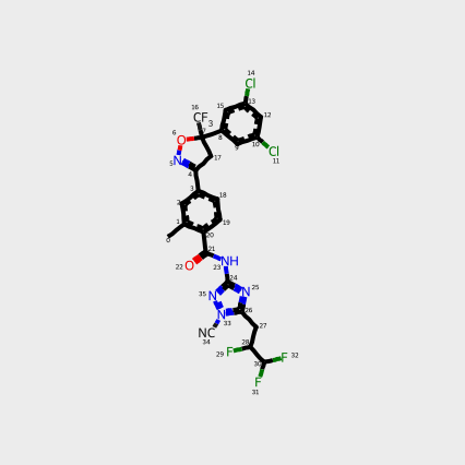 Cc1cc(C2=NOC(c3cc(Cl)cc(Cl)c3)(C(F)(F)F)C2)ccc1C(=O)Nc1nc(CC(F)C(F)F)n(C#N)n1